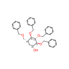 O[C@@H]1C[C@H](COCc2ccccc2)[C@@H](OCc2ccccc2)[C@H](OCc2ccccc2)[C@H]1OCc1ccccc1